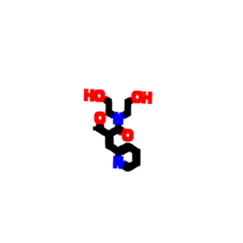 O=[C]C(=Cc1ccccn1)C(=O)N(CCO)CCO